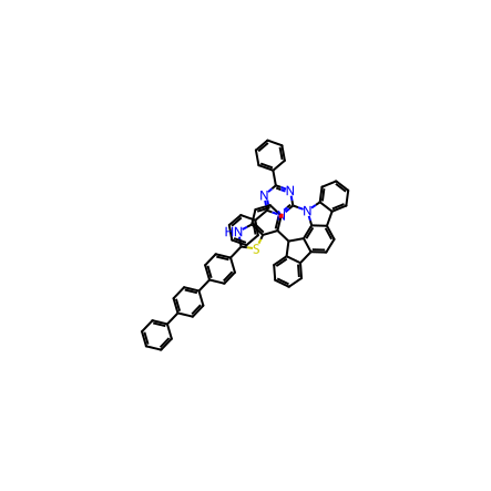 c1ccc(-c2ccc(-c3ccc(C4Nc5cccc(C6c7ccccc7-c7ccc8c9ccccc9n(-c9nc(-c%10ccccc%10)nc(-c%10ccccc%10)n9)c8c76)c5S4)cc3)cc2)cc1